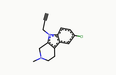 C#CCn1c2c(c3cc(Cl)ccc31)CCN(C)C2